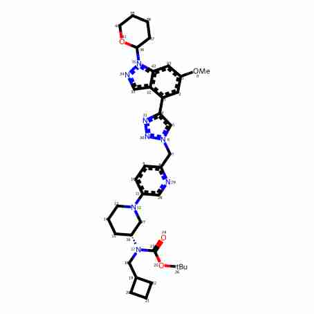 COc1cc(-c2cn(Cc3ccc(N4CCC[C@@H](N(CC5CCC5)C(=O)OC(C)(C)C)C4)cn3)nn2)c2cnn(C3CCCCO3)c2c1